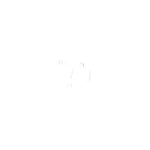 C.SC1=NCCOC1